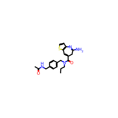 CCCN(Cc1ccc(CNC(C)=O)cc1)C(=O)C1=Cc2sccc2N=C(N)C1